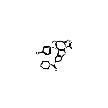 Cc1nnc2n1-c1sc3c(c1[C@H](c1ccc(Cl)cc1)NC2)C[C@H](C(=O)N1CCOCC1)C3